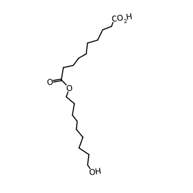 O=C(O)CCCCCCCCC(=O)OCCCCCCCCCO